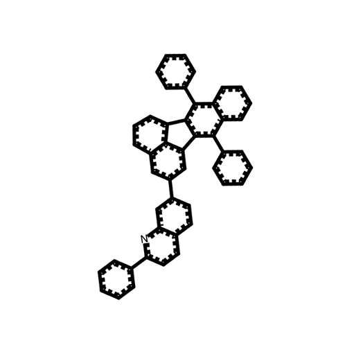 c1ccc(-c2ccc3ccc(-c4cc5c6c(cccc6c4)-c4c-5c(-c5ccccc5)c5ccccc5c4-c4ccccc4)cc3n2)cc1